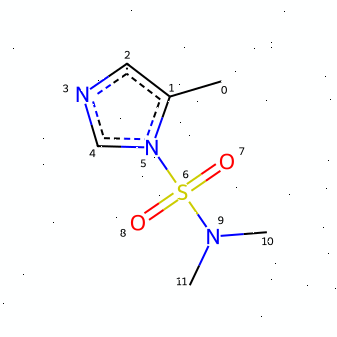 Cc1[c]ncn1S(=O)(=O)N(C)C